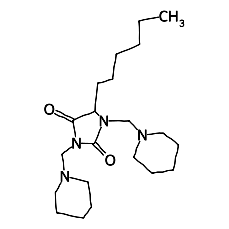 CCCCCCC1C(=O)N(CN2CCCCC2)C(=O)N1CN1CCCCC1